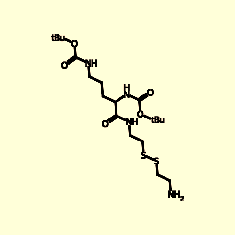 CC(C)(C)OC(=O)NCCCC(NC(=O)OC(C)(C)C)C(=O)NCCSSCCN